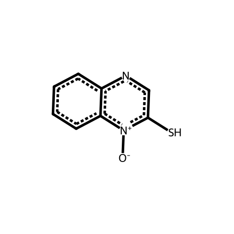 [O-][n+]1c(S)cnc2ccccc21